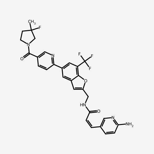 CC1(F)CCN(C(=O)c2ccc(-c3cc(C(F)(F)F)c4oc(CNC(=O)/C=C\c5ccc(N)nc5)cc4c3)nc2)C1